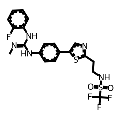 C/N=C(\Nc1ccc(-c2cnc(CCNS(=O)(=O)C(F)(F)F)s2)cc1)Nc1ccccc1F